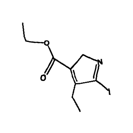 CCOC(=O)C1=C(CC)C(I)=NC1